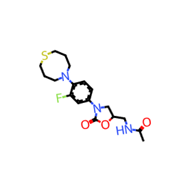 CC(=O)NCC1CN(c2ccc(N3CCCSCCC3)c(F)c2)C(=O)O1